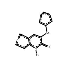 CCn1c(=O)c([Se]c2ccccc2)cc2ccccc21